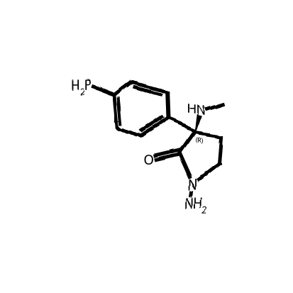 CN[C@@]1(c2ccc(P)cc2)CCN(N)C1=O